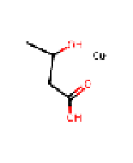 CC(O)CC(=O)O.[Cu]